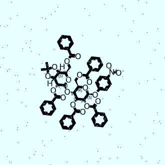 CC1(C)O[C@H]2[C@@H](O1)[C@@H](COC(=O)c1ccccc1)O[C@@H](O[C@H]1[C@H](OC(=O)c3ccccc3)[C@@H](OC(=O)c3ccccc3)[C@H](Oc3ccc([N+](=O)[O-])cc3)O[C@@H]1COC(=O)c1ccccc1)[C@@H]2OC(=O)c1ccccc1